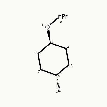 CCCO[C@H]1CC[C@H](C)CC1